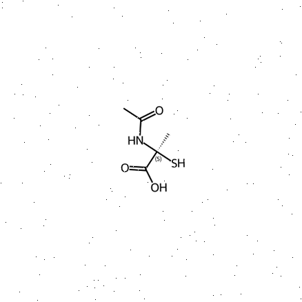 CC(=O)N[C@@](C)(S)C(=O)O